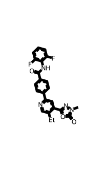 CCc1cnc(-c2ccc(C(=O)Nc3c(F)cccc3F)cc2)cc1-c1nn(C)c(=O)o1